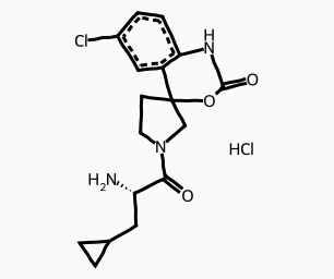 Cl.N[C@@H](CC1CC1)C(=O)N1CCC2(C1)OC(=O)Nc1ccc(Cl)cc12